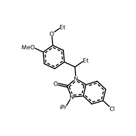 CCOc1cc(C(CC)n2c(=O)n(C(C)C)c3cc(Cl)ccc32)ccc1OC